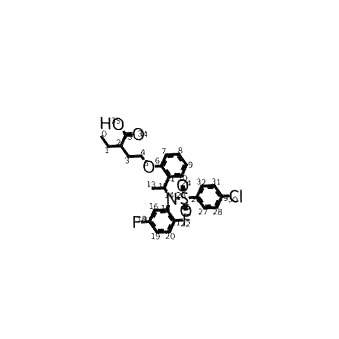 CCC(CCOc1ccccc1C(C)N(c1cc(F)ccc1F)S(=O)(=O)c1ccc(Cl)cc1)C(=O)O